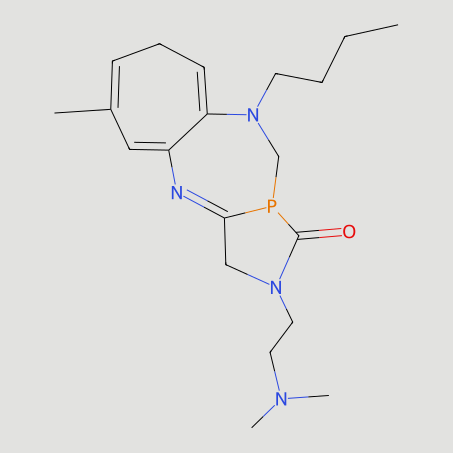 CCCCN1CP2C(=O)N(CCN(C)C)CC2=NC2=CC(C)=CCC=C21